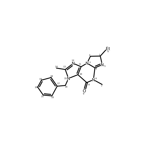 CCC1CN2C(=N1)N(C)C(=O)c1c2nc(C)n1Cc1ccccc1